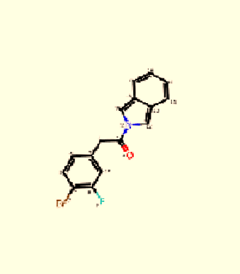 O=C(Cc1ccc(Br)c(F)c1)n1cc2ccccc2c1